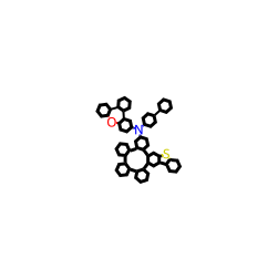 c1ccc(-c2ccc(N(c3ccc4c(c3)-c3ccccc3-c3ccccc3O4)c3ccc4c(c3)c3ccccc3c3ccccc3c3ccccc3c3cc5c(cc43)sc3ccccc35)cc2)cc1